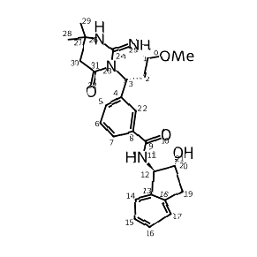 COCC[C@H](c1cccc(C(=O)N[C@@H]2c3ccccc3C[C@H]2O)c1)N1C(=N)NC(C)(C)CC1=O